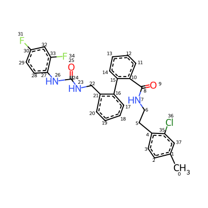 Cc1ccc(CCNC(=O)c2ccccc2-c2ccccc2CNC(=O)Nc2ccc(F)cc2F)c(Cl)c1